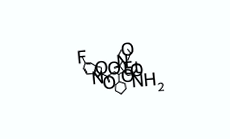 CC[C@@](OC(N)=O)(C(=O)N1CCOCC1)C(CC(=O)c1nc2ccc(F)cc2o1)C1CCCCC1